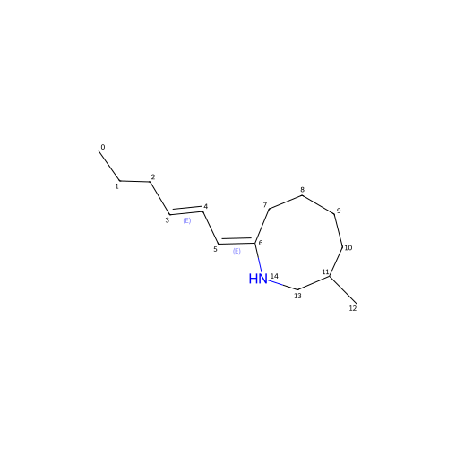 CCC/C=C/C=C1\CCCCC(C)CN1